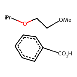 COCCOC(C)C.O=C(O)c1ccccc1